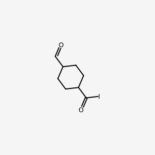 O=CC1CCC(C(=O)I)CC1